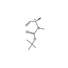 C=C[C@@H](C)N(C)C(=O)OC(C)(C)C